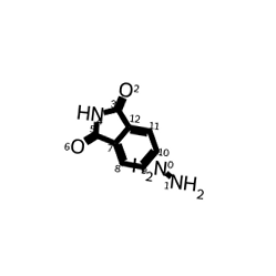 NN.O=C1NC(=O)c2ccccc21